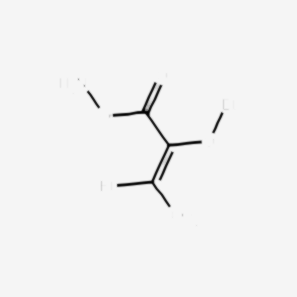 CCOC(=O)/C(CC)=C(\OCC)C(=O)ON